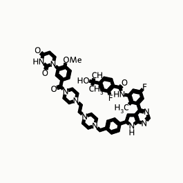 COc1ccc(C(=O)N2CCN(CCN3CCN(Cc4ccc(C5Cc6c(ncnc6-c6cc(F)cc(NC(=O)c7ccc(C(C)(C)O)cc7F)c6C)N5)cc4)CC3)CC2)cc1N1CCC(=O)NC1=O